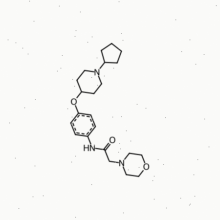 O=C(CN1CCOCC1)Nc1ccc(OC2CCN(C3CCCC3)CC2)cc1